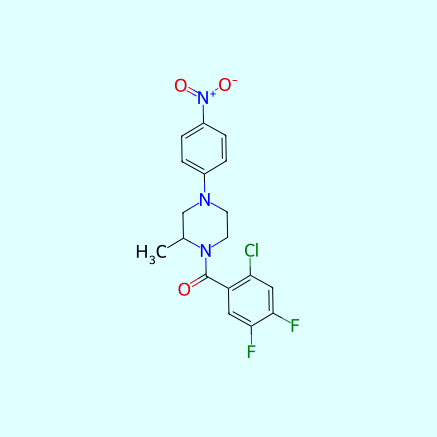 CC1CN(c2ccc([N+](=O)[O-])cc2)CCN1C(=O)c1cc(F)c(F)cc1Cl